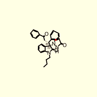 CCCCN1C(=O)[C@@]([C@H](CC(=O)c2ccccc2)c2ccccc2)(n2ccc(=O)[nH]2)c2ccccc21